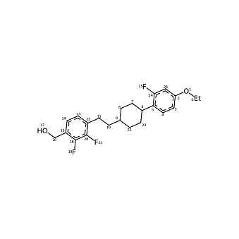 CCOc1ccc(C2CCC(CCc3ccc(CO)c(F)c3F)CC2)c(F)c1